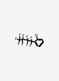 [O]c1ccccc1C(F)(F)C(F)(F)C(F)(F)C(F)(F)F